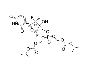 CC(C)OC(=O)OCOP(=O)(OCOC(=O)OC(C)C)OC1[C@]2(O)[C@@](C)(F)[C@H](n3ccc(=O)[nH]c3=O)O[C@]12F